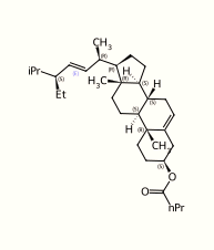 CCCC(=O)O[C@H]1CC[C@@]2(C)C(=CC[C@H]3[C@@H]4CC[C@H]([C@H](C)/C=C/[C@@H](CC)C(C)C)[C@@]4(C)CC[C@@H]32)C1